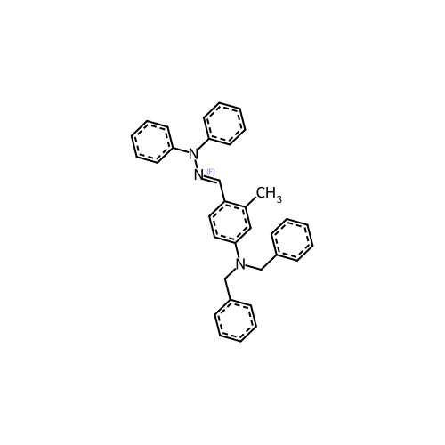 Cc1cc(N(Cc2ccccc2)Cc2ccccc2)ccc1/C=N/N(c1ccccc1)c1ccccc1